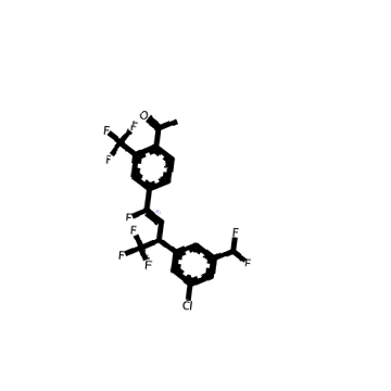 CC(=O)c1ccc(/C(F)=C/C(c2cc(Cl)cc(C(F)F)c2)C(F)(F)F)cc1C(F)(F)F